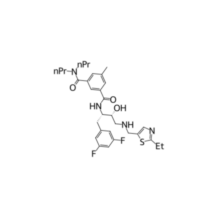 CCCN(CCC)C(=O)c1cc(C)cc(C(=O)N[C@@H](Cc2cc(F)cc(F)c2)[C@H](O)CNCc2cnc(CC)s2)c1